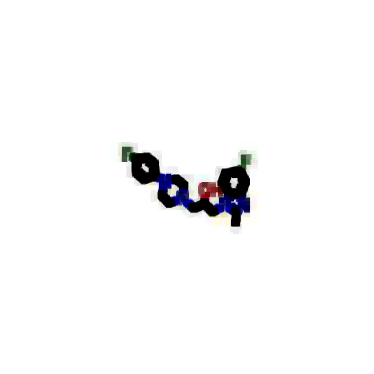 Cc1nc2cc(F)ccc2n1CC(O)CN1CCN(c2ccc(F)cc2)CC1